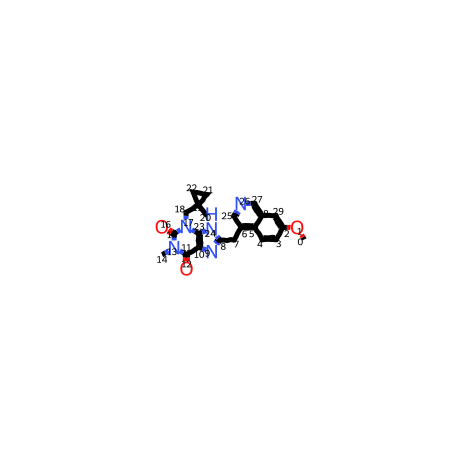 COc1ccc2c(Cc3nc4c(=O)n(C)c(=O)n(CC5(C)CC5)c4[nH]3)cncc2c1